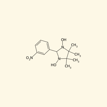 CC1(C)N(O)C(c2cccc([N+](=O)[O-])c2)N(O)C1(C)C